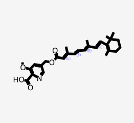 COc1cc(COC(=O)/C=C(C)/C=C/C=C(C)/C=C/C2=C(C)CCCC2(C)C)cnc1C(=O)O